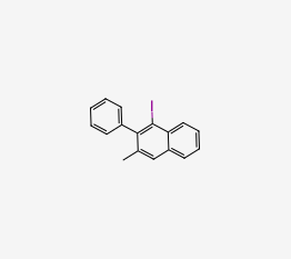 Cc1cc2ccccc2c(I)c1-c1ccccc1